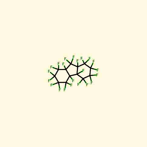 FC1(F)C(F)(F)C(F)(F)C2(F)C(F)(C1(F)F)C(F)(F)C1(F)C(F)(F)C(F)(F)C(F)(F)C(F)(F)C12F